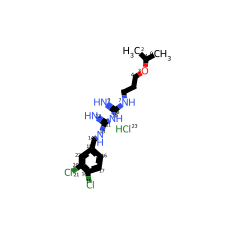 CC(C)OCCCNC(=N)NC(=N)NCc1ccc(Cl)c(Cl)c1.Cl